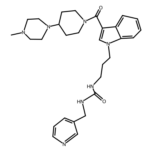 CN1CCN(C2CCN(C(=O)c3cn(CCCNC(=O)NCc4cccnc4)c4ccccc34)CC2)CC1